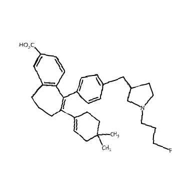 CC1(C)CC=C(C2=C(c3ccc(CC4CCN(CCCF)C4)cc3)c3ccc(C(=O)O)cc3CCC2)CC1